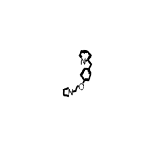 c1ccc(Cc2ccc(OCCN3CCCC3)cc2)nc1